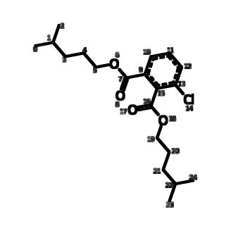 CC(C)CCCOC(=O)c1cccc(Cl)c1C(=O)OCCCC(C)C